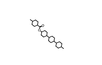 CC1CCC(C(=O)OC2CCC(C3CCC(C4CCC(C)CC4)CC3)CC2)CC1